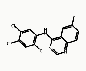 Cc1ccc2ncnc(Nc3cc(Cl)c(Cl)cc3Cl)c2c1